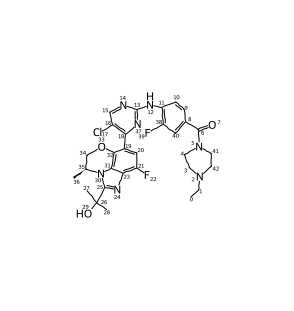 CCN1CCN(C(=O)c2ccc(Nc3ncc(Cl)c(-c4cc(F)c5nc(C(C)(C)O)n6c5c4OC[C@@H]6C)n3)c(F)c2)CC1